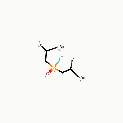 CCCCC(CC)CP(=O)(F)CC(CC)CCCC